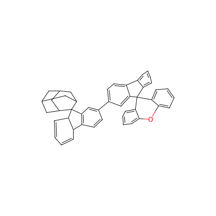 C1=CC2c3ccc(-c4ccc5c(c4)C4(c6ccccc6Oc6ccccc64)c4ccccc4-5)cc3C3(C4CC5CC(C4)CC3C5)C2C=C1